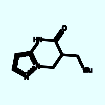 CC(C)(C)CC1Cn2nccc2NC1=O